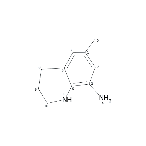 Cc1cc(N)c2c(c1)CCCN2